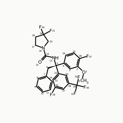 COc1cc([C@@](Cc2ccccc2)(NC(=O)N2CCC(F)(F)C2)c2cc(F)cc(C(F)(F)F)c2)ccc1F